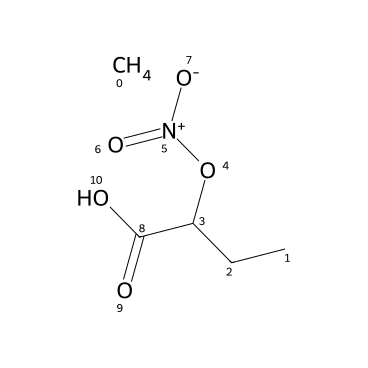 C.CCC(O[N+](=O)[O-])C(=O)O